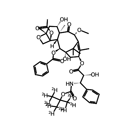 [2H]C([2H])([2H])C(OC(=O)N[C@@H](c1ccccc1)[C@@H](O)C(=O)O[C@H]1C[C@@]2(O)[C@@H](OC(=O)c3ccccc3)[C@H]3[C@](C)(C(=O)[C@H](OC)C(=C1C)C2(C)C)[C@@H](O)C[C@@]1(C)OC[C@@]31OC(C)=O)(C([2H])([2H])[2H])C([2H])([2H])[2H]